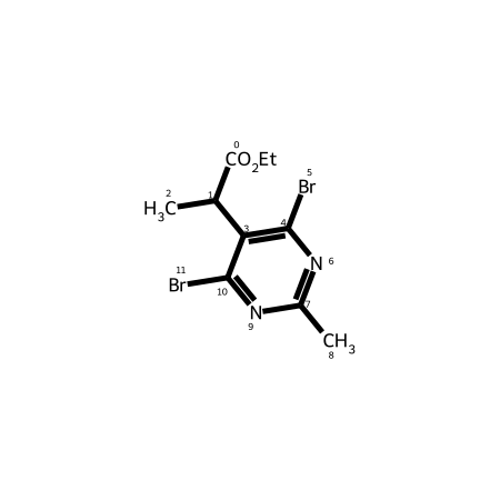 CCOC(=O)C(C)c1c(Br)nc(C)nc1Br